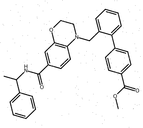 COC(=O)c1ccc(-c2ccccc2CN2CCOc3cc(C(=O)NC(C)c4ccccc4)ccc32)cc1